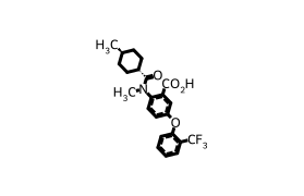 CN(c1ccc(Oc2ccccc2C(F)(F)F)cc1C(=O)O)C(=O)[C@H]1CC[C@H](C)CC1